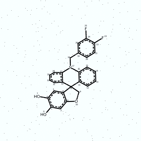 Oc1cc2c(cc1O)C1(CO2)c2ccccc2N(Cc2ccc(F)c(F)c2)c2ccccc21